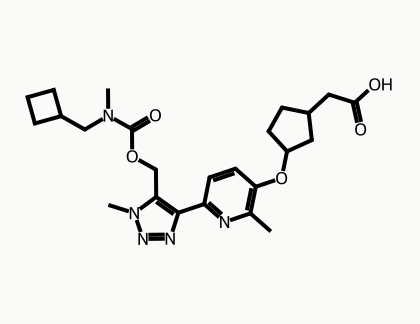 Cc1nc(-c2nnn(C)c2COC(=O)N(C)CC2CCC2)ccc1OC1CCC(CC(=O)O)C1